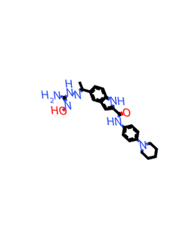 CC(=NNC(N)=NO)c1ccc2[nH]c(C(=O)Nc3ccc(N4CCCCC4)cc3)cc2c1